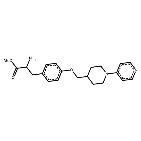 COC(=O)C(N)Cc1ccc(OCC2CCN(c3ccncc3)CC2)cc1